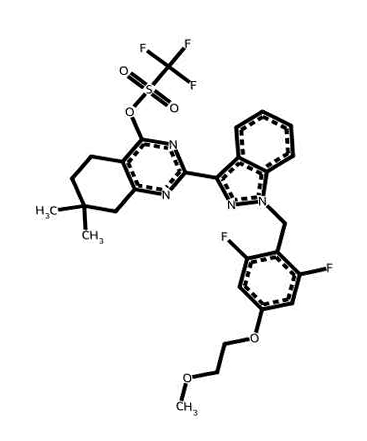 COCCOc1cc(F)c(Cn2nc(-c3nc4c(c(OS(=O)(=O)C(F)(F)F)n3)CCC(C)(C)C4)c3ccccc32)c(F)c1